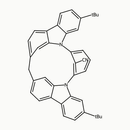 CC(C)(C)c1ccc2c3ccc4cc3n(c2c1)-c1cccc(c1C#N)-n1c2cc(ccc2c2ccc(C(C)(C)C)cc21)C4